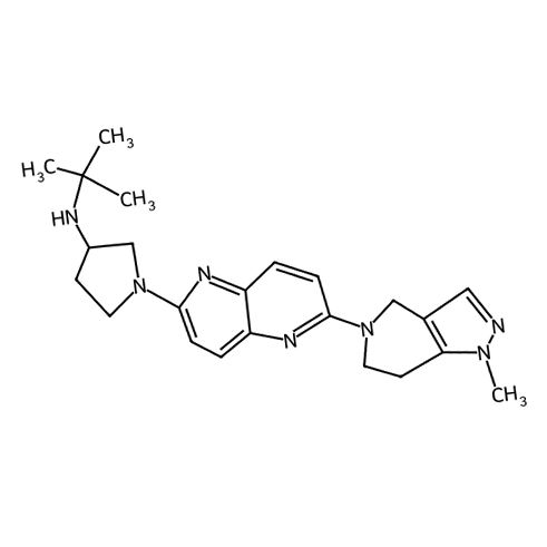 Cn1ncc2c1CCN(c1ccc3nc(N4CCC(NC(C)(C)C)C4)ccc3n1)C2